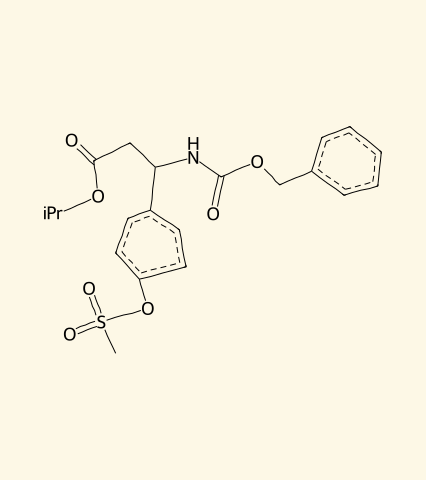 CC(C)OC(=O)CC(NC(=O)OCc1ccccc1)c1ccc(OS(C)(=O)=O)cc1